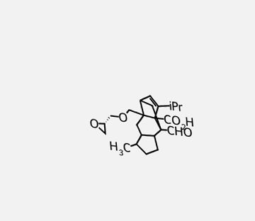 CC(C)C1=CC2CC3(C=O)C4CCC(C)C4CC2(COC[C@@H]2CO2)C13C(=O)O